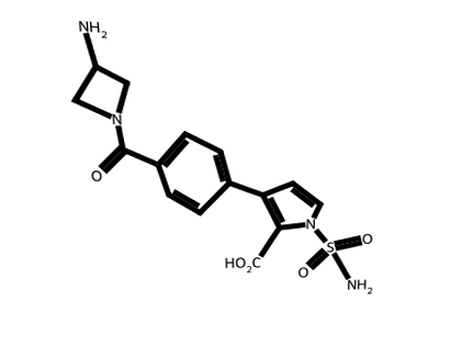 NC1CN(C(=O)c2ccc(-c3ccn(S(N)(=O)=O)c3C(=O)O)cc2)C1